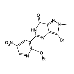 CCOc1ncc([N+](=O)[O-])cc1-c1nc2c(Br)n(C)nc2c(=O)[nH]1